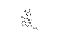 N=C(c1ccnc2nc(CCN)[nH]c12)N(O)c1ccc(F)c(Cl)c1